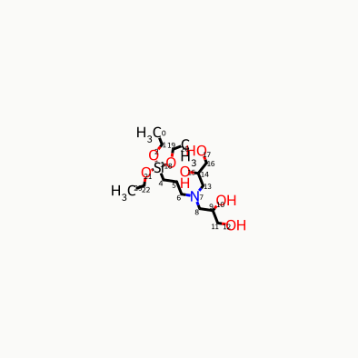 CCO[Si](CCCN(CC(O)CO)CC(O)CO)(OCC)OCC